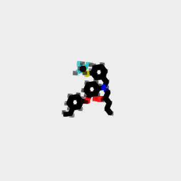 CCCC(O)CN(Cc1cccc(SC(F)(F)F)c1)c1cccc(Oc2cccc(CC)c2)c1